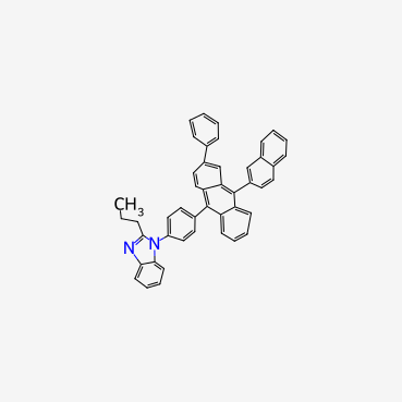 CCCc1nc2ccccc2n1-c1ccc(-c2c3ccccc3c(-c3ccc4ccccc4c3)c3cc(-c4ccccc4)ccc23)cc1